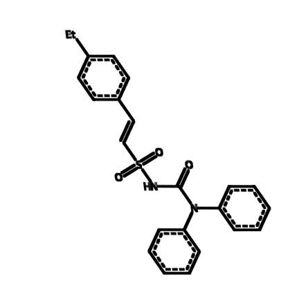 CCc1ccc(/C=C/S(=O)(=O)NC(=O)N(c2ccccc2)c2ccccc2)cc1